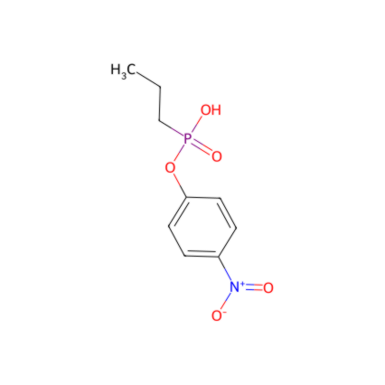 CCCP(=O)(O)Oc1ccc([N+](=O)[O-])cc1